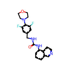 O=C(NCc1cc(F)c(N2CCOCC2)c(F)c1)Nc1cccc2cnccc12